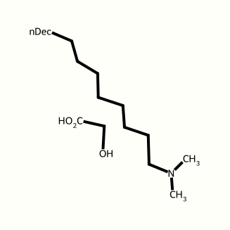 CCCCCCCCCCCCCCCCCCN(C)C.O=C(O)CO